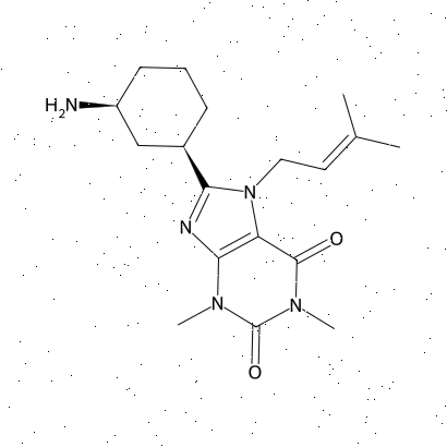 CC(C)=CCn1c([C@@H]2CCC[C@H](N)C2)nc2c1c(=O)n(C)c(=O)n2C